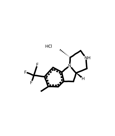 Cc1cc2c(cc1C(F)(F)F)N1[C@H](CNC[C@H]1C)C2.Cl